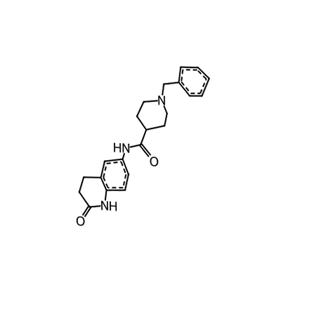 O=C1CCc2cc(NC(=O)C3CCN(Cc4ccccc4)CC3)ccc2N1